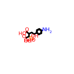 Nc1ccc(CCC(C(=O)O)C(C(=O)O)P(=O)(O)O)cc1